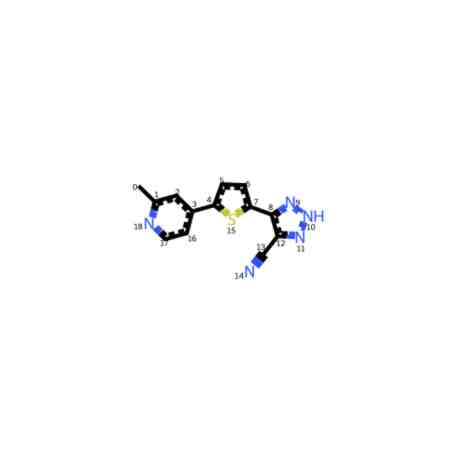 Cc1cc(-c2ccc(-c3n[nH]nc3C#N)s2)ccn1